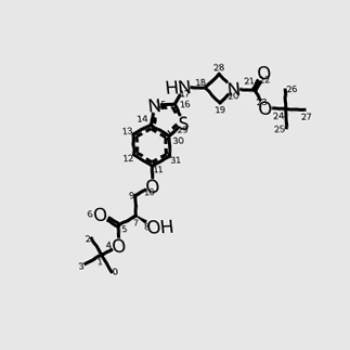 CC(C)(C)OC(=O)[C@H](O)COc1ccc2nc(NC3CN(C(=O)OC(C)(C)C)C3)sc2c1